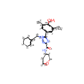 CC(C)(C)c1cc(-c2nc(C(=O)NC3CCOCC3)nn2CC2CCCCC2)cc(C(C)(C)C)c1O